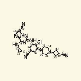 N#Cc1cc(Nc2nc(NC3CC3)c3ncc(C#N)n3n2)c(Cl)c(N2CCN(C3CC(C#N)C3)CC2)c1